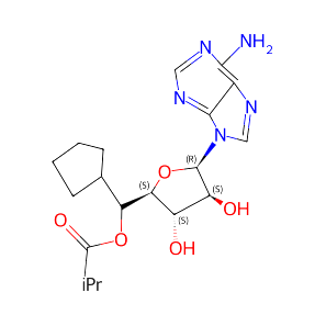 CC(C)C(=O)OC(C1CCCC1)[C@H]1O[C@@H](n2cnc3c(N)ncnc32)[C@@H](O)[C@@H]1O